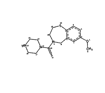 COc1ccc2c(c1)CN(C(=S)N1CCNCC1)CCS2